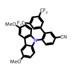 COc1ccc2c(c1)c1cc(OC)ccc1n2-c1ccc(C#N)cc1-c1cc(C(F)(F)F)cc(C(F)(F)F)c1